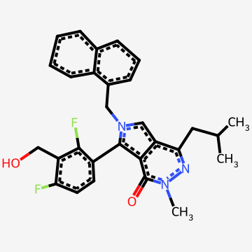 CC(C)Cc1nn(C)c(=O)c2c(-c3ccc(F)c(CO)c3F)n(Cc3cccc4ccccc34)cc12